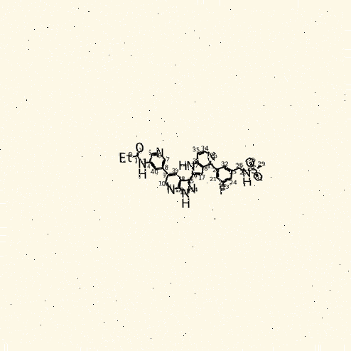 CCC(=O)Nc1cncc(-c2cnc3[nH]nc(-c4cc5c(-c6cc(F)cc(CNS(C)(=O)=O)c6)nccc5[nH]4)c3c2)c1